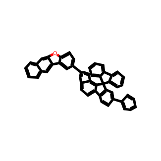 c1ccc(-c2ccc3c(c2)C2(c4ccccc4-c4ccccc42)c2c-3ccc3cc(-c4ccc5oc6cc7ccccc7cc6c5c4)ccc23)cc1